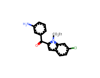 CCOC(=O)n1c(C(=O)c2cccc(N)c2)cc2ccc(Cl)cc21